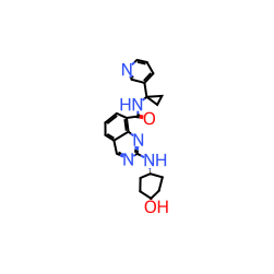 O=C(NC1(c2cccnc2)CC1)c1cccc2cnc(N[C@H]3CC[C@H](O)CC3)nc12